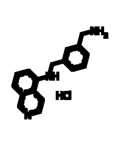 Cl.NCc1cccc(CNc2cccc3cnccc23)c1